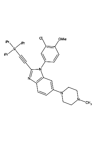 COc1ccc(-n2c(C#C[Si](C(C)C)(C(C)C)C(C)C)nc3ccc(N4CCN(C)CC4)cc32)cc1Cl